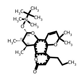 CCCc1cc(=O)oc2c3c(c4c(c12)OC(C)(C)C=C4)O[C@@H](O[Si](C)(C)C(C)(C)C)[C@@H](C)[C@@H]3C